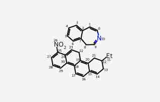 C1=Cc2ccccc2CC=N1.CCC1CC=c2ccc3c(c2C1)CC=c1c([N+](=O)[O-])cccc1=3